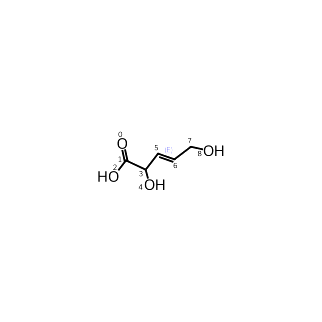 O=C(O)C(O)/C=C/CO